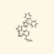 CC(=O)OOc1cccc(-c2[nH]ncc2-c2nc(-c3ccccc3)c(-c3ccccc3)o2)c1C(C)(C)C